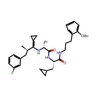 CC(C)COc1ccccc1CCCNC(=O)[C@H](CC1CC1)NC(=O)[C@H](NC(=C1CC1)[C@H](C)Cc1cccc(F)c1)C(C)C